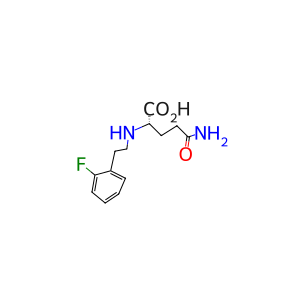 NC(=O)CC[C@H](NCCc1ccccc1F)C(=O)O